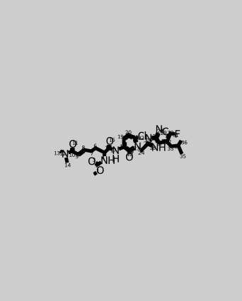 COC(=O)NC(CC/C=C/C(=O)N(C)C)C(=O)Nc1ccc(Cl)n(Cc2nc3ncc(F)c(CC(C)C)c3[nH]2)c1=O